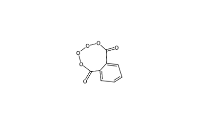 O=c1ooooc(=O)c2ccccc12